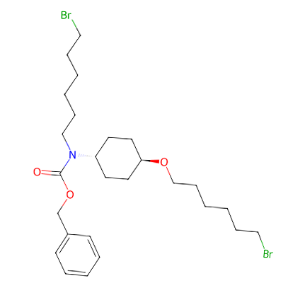 O=C(OCc1ccccc1)N(CCCCCCBr)[C@H]1CC[C@H](OCCCCCCBr)CC1